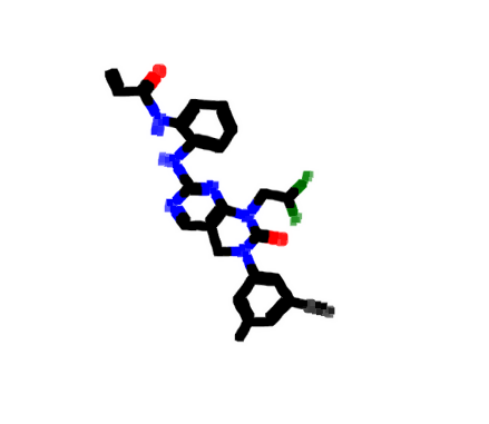 C=CC(=O)Nc1ccccc1Nc1ncc2c(n1)N(CC(F)F)C(=O)N(c1cc(C)cc(OC)c1)C2